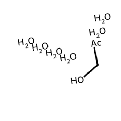 CC(=O)CO.O.O.O.O.O.O